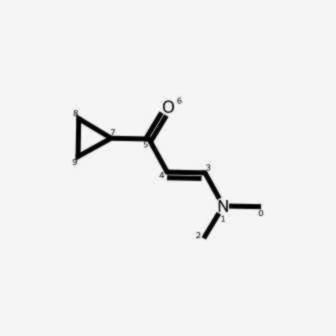 CN(C)/C=C/C(=O)C1CC1